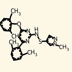 Cc1cccc(C)c1Oc1cc(-c2c(C)cccc2C)nc(NSc2cnn(C)c2)n1